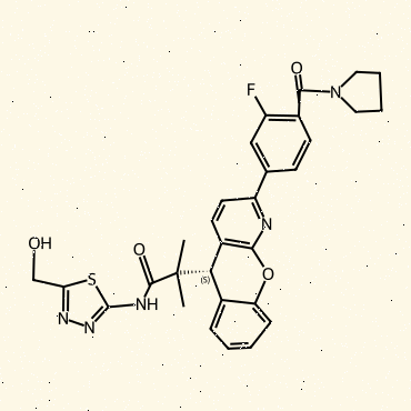 CC(C)(C(=O)Nc1nnc(CO)s1)[C@H]1c2ccccc2Oc2nc(-c3ccc(C(=O)N4CCCC4)c(F)c3)ccc21